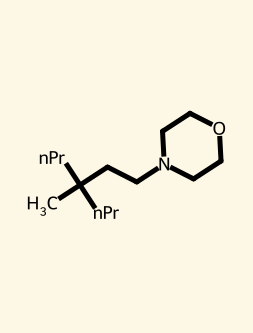 CCCC(C)(CCC)CCN1CCOCC1